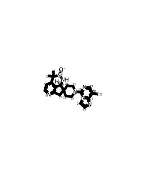 CC1(C)c2ccnc3c2[C@@H](N[S+]1[O-])C1(CCN(c2ncc(I)c4nccn24)CC1)C3